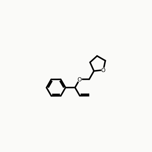 C=CC(OCC1CCCO1)c1ccccc1